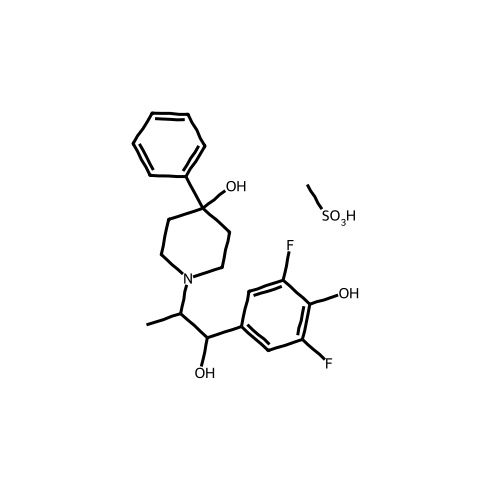 CC(C(O)c1cc(F)c(O)c(F)c1)N1CCC(O)(c2ccccc2)CC1.CS(=O)(=O)O